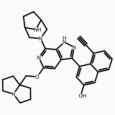 C#Cc1cccc2cc(O)cc(-c3n[nH]c4c(N5CC6CCC(C5)N6)nc(OCC56CCCN5CCC6)cc34)c12